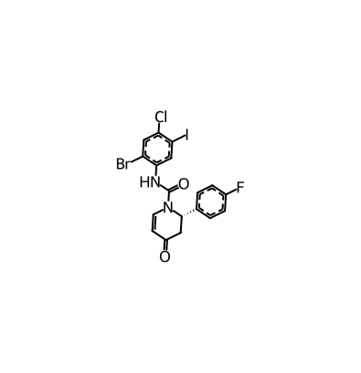 O=C1C=CN(C(=O)Nc2cc(I)c(Cl)cc2Br)[C@H](c2ccc(F)cc2)C1